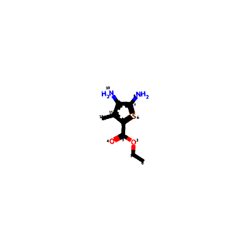 CCOC(=O)c1sc(N)c(N)c1C